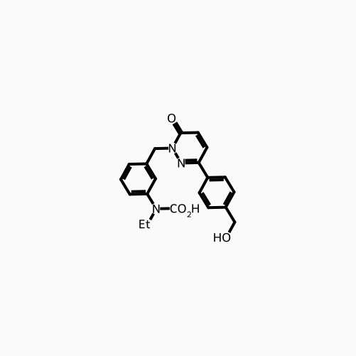 CCN(C(=O)O)c1cccc(Cn2nc(-c3ccc(CO)cc3)ccc2=O)c1